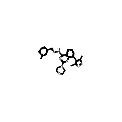 Cc1cccc(C=NNc2nc(N3CCOCC3)nc3c(-c4c(C)noc4C)cccc23)c1